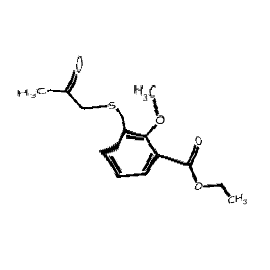 CCOC(=O)c1cccc(SCC(C)=O)c1OC